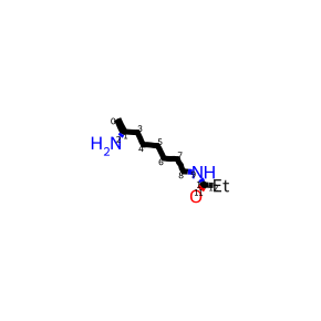 C=C(N)CCCCCCNC(=O)CC